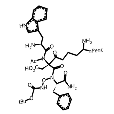 CCCCCC(N)CCCC(=O)[C@](CC(=O)O)(C(=O)N(ONC(=O)OC(C)(C)C)[C@@H](Cc1ccccc1)C(N)=O)N(C(C)=O)C(=O)[C@@H](N)Cc1c[nH]c2ccccc12